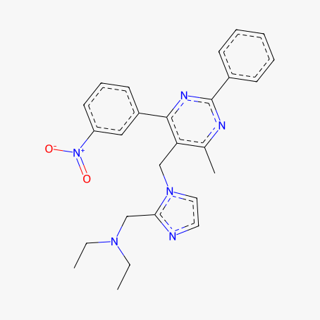 CCN(CC)Cc1nccn1Cc1c(C)nc(-c2ccccc2)nc1-c1cccc([N+](=O)[O-])c1